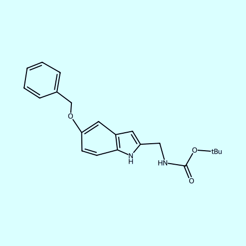 CC(C)(C)OC(=O)NCc1cc2cc(OCc3ccccc3)ccc2[nH]1